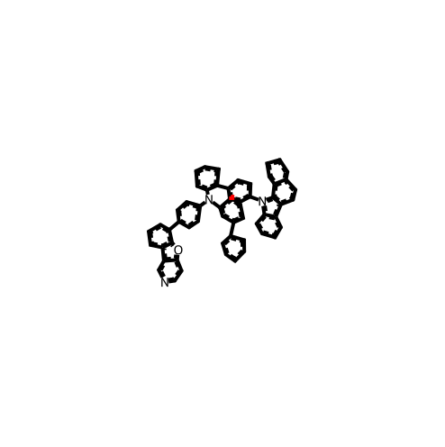 c1ccc(-c2cccc(N(c3ccc(-c4cccc5c4oc4ccncc45)cc3)c3ccccc3-c3ccc(-n4c5ccccc5c5ccc6ccccc6c54)cc3)c2)cc1